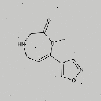 CN1C(=O)CNCC=C1c1cnoc1